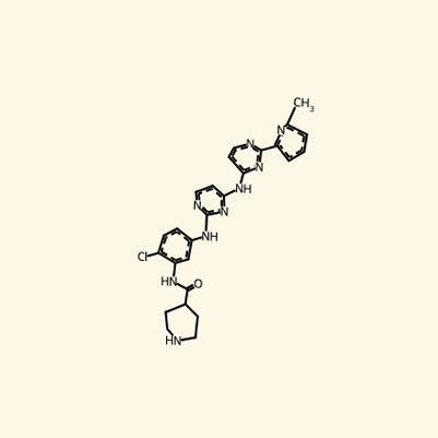 Cc1cccc(-c2nccc(Nc3ccnc(Nc4ccc(Cl)c(NC(=O)C5CCNCC5)c4)n3)n2)n1